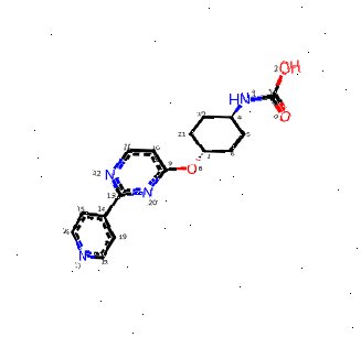 O=C(O)N[C@H]1CC[C@H](Oc2ccnc(-c3ccncc3)n2)CC1